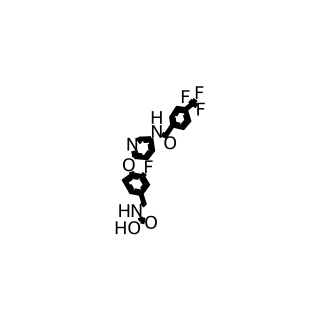 O=C(O)NCc1ccc(Oc2ccc(NC(=O)c3ccc(C(F)(F)F)cc3)cn2)c(F)c1